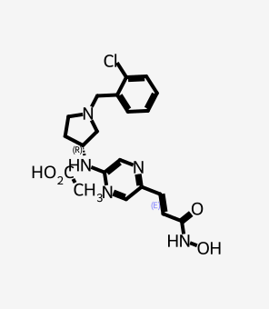 CC(=O)O.O=C(/C=C/c1cnc(N[C@@H]2CCN(Cc3ccccc3Cl)C2)cn1)NO